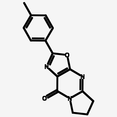 Cc1ccc(-c2nc3c(=O)n4c(nc3o2)CCC4)cc1